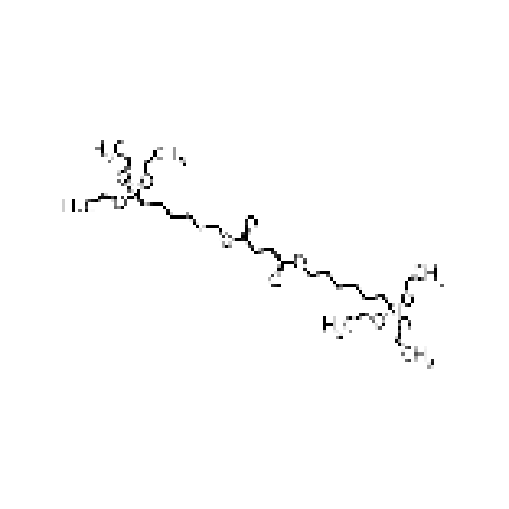 CCO[Si](CCCCCCOC(=O)CCC(=O)OCCCCCC[Si](OCC)(OCC)OCC)(OCC)OCC